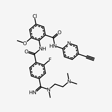 C#Cc1ccc(NC(=O)c2cc(Cl)cc(OC)c2NC(=O)c2ccc(C(=N)N(C)CCN(C)C)cc2F)nc1